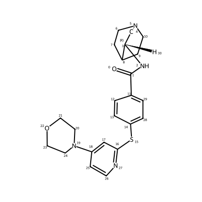 O=C(N[C@H]1CN2CCC1CC2)c1ccc(Sc2cc(N3CCOCC3)ccn2)cc1